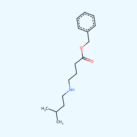 CC(C)CCNCCCC(=O)OCc1ccccc1